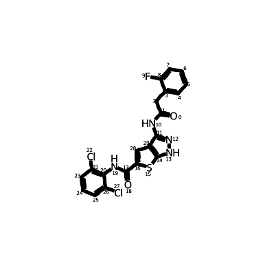 O=C(Cc1ccccc1F)Nc1n[nH]c2sc(C(=O)Nc3c(Cl)cccc3Cl)cc12